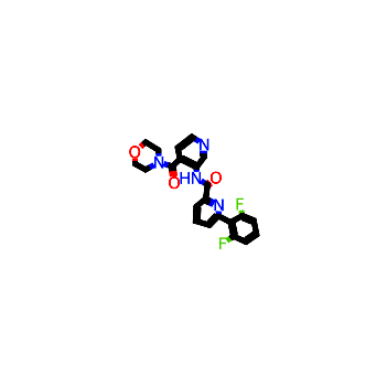 O=C(Nc1cnccc1C(=O)N1CCOCC1)c1cccc(-c2c(F)cccc2F)n1